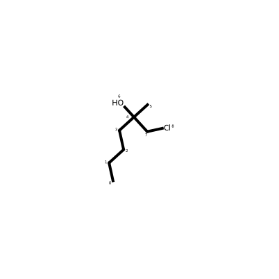 CCCCC(C)(O)CCl